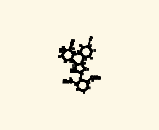 COc1cccc(OC)c1-c1nc2c3ccc(F)cc3c3c(=O)[nH]ccc3c2[nH]1